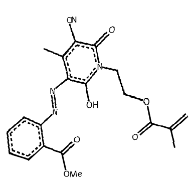 C=C(C)C(=O)OCCn1c(O)c(/N=N/c2ccccc2C(=O)OC)c(C)c(C#N)c1=O